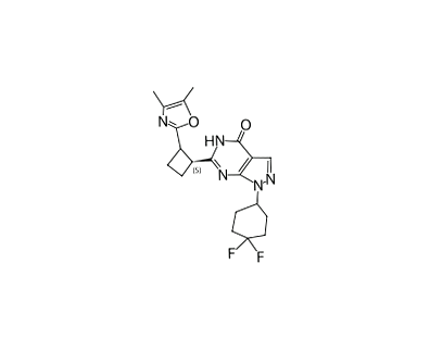 Cc1nc(C2CC[C@@H]2c2nc3c(cnn3C3CCC(F)(F)CC3)c(=O)[nH]2)oc1C